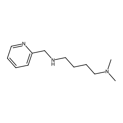 CN(C)CCCCNCc1ccccn1